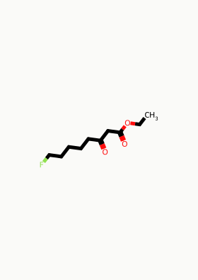 CCOC(=O)CC(=O)CCCCCF